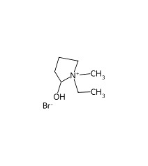 CC[N+]1(C)CCCC1O.[Br-]